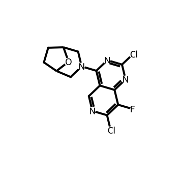 Fc1c(Cl)ncc2c(N3CC4CCC(C3)O4)nc(Cl)nc12